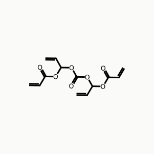 C=CC(=O)OC(C=C)OC(=O)OC(C=C)OC(=O)C=C